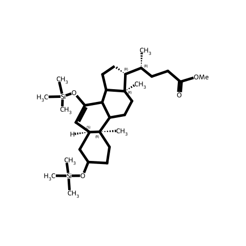 COC(=O)CC[C@@H](C)[C@H]1CCC2C3C(O[Si](C)(C)C)=C[C@@H]4CC(O[Si](C)(C)C)CC[C@]4(C)C3CC[C@@]21C